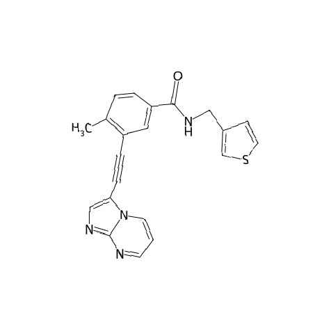 Cc1ccc(C(=O)NCc2ccsc2)cc1C#Cc1cnc2ncccn12